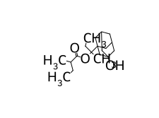 CCC(C)C(=O)OC(C)(CC)C12CC3CC(CC(O)(C3)C1)C2